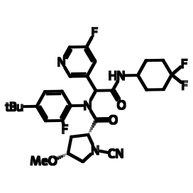 CO[C@@H]1C[C@H](C(=O)N(c2ccc(C(C)(C)C)cc2F)C(C(=O)NC2CCC(F)(F)CC2)c2cncc(F)c2)N(C#N)C1